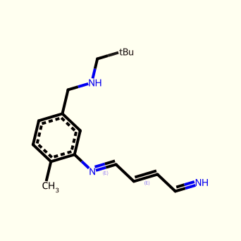 Cc1ccc(CNCC(C)(C)C)cc1/N=C/C=C/C=N